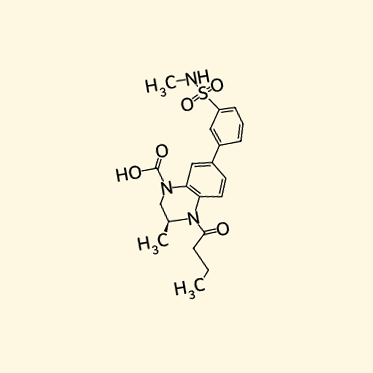 CCCC(=O)N1c2ccc(-c3cccc(S(=O)(=O)NC)c3)cc2N(C(=O)O)C[C@@H]1C